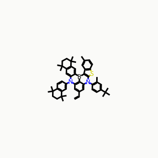 C=Cc1cc2c3c(c1)N(c1ccc(C(C)(C)C)cc1C)c1sc4ccc(C)cc4c1B3c1cc3c(cc1N2c1ccc2c(c1)C(C)(C)CCC2(C)C)C(C)(C)CCC3(C)C